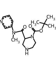 CN(C(=O)C1CNCCN1C(=O)OC(C)(C)C)c1cccnc1